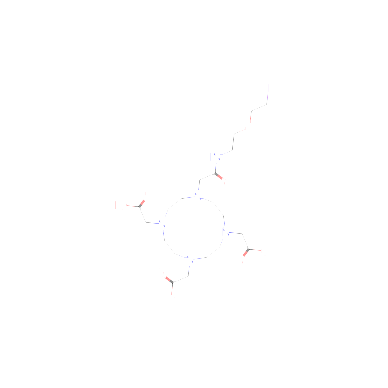 O=C(O)CN1CCN(CC(=O)O)CCN(CC(=O)NCCOCCI)CCN(CC(=O)O)CC1